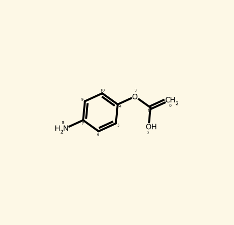 C=C(O)Oc1ccc(N)cc1